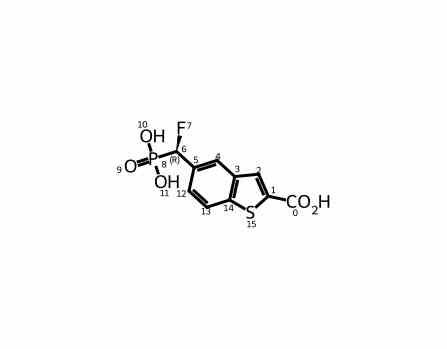 O=C(O)c1cc2cc([C@H](F)P(=O)(O)O)ccc2s1